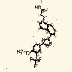 COc1ccc(-c2nc(-c3cccc4c3ccn4CCC(=O)O)no2)cc1C(F)(F)F